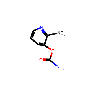 NC(=O)Oc1cccnc1[N+](=O)[O-]